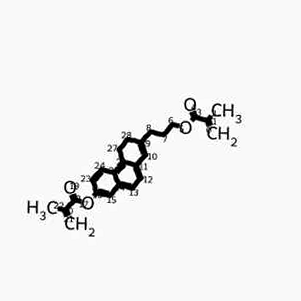 C=C(C)C(=O)OCCCC1=Cc2ccc3cc(OC(=O)C(=C)C)ccc3c2CC1